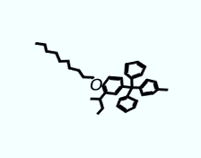 CCCCCCCCCCOc1ccc(C(c2ccccc2)(c2ccccc2)c2ccc(C)cc2)cc1C(C)CC